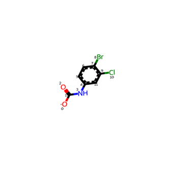 [O]C(=O)Nc1ccc(Br)c(Cl)c1